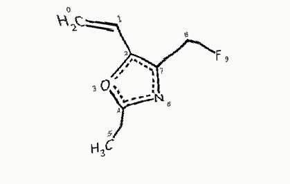 C=Cc1oc(C)nc1CF